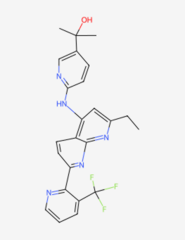 CCc1cc(Nc2ccc(C(C)(C)O)cn2)c2ccc(-c3ncccc3C(F)(F)F)nc2n1